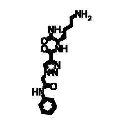 NCCCCC(NC(=O)c1cn(CC(=O)Nc2ccccc2)nn1)C(N)=O